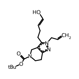 C=CCn1nc2c(c1CCC=CO)CN(C(=O)OC(C)(C)C)CC2